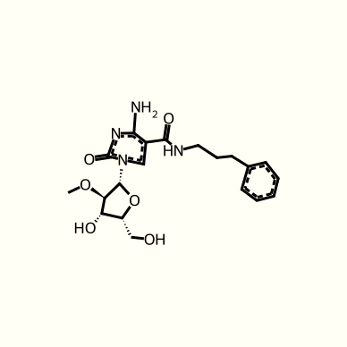 CO[C@@H]1[C@@H](O)[C@@H](CO)O[C@H]1n1cc(C(=O)NCCCc2ccccc2)c(N)nc1=O